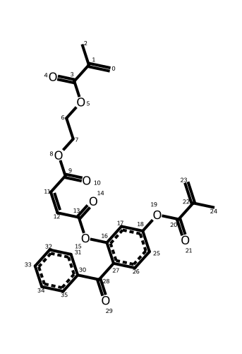 C=C(C)C(=O)OCCOC(=O)/C=C\C(=O)Oc1cc(OC(=O)C(=C)C)ccc1C(=O)c1ccccc1